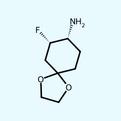 N[C@@H]1CCC2(C[C@@H]1F)OCCO2